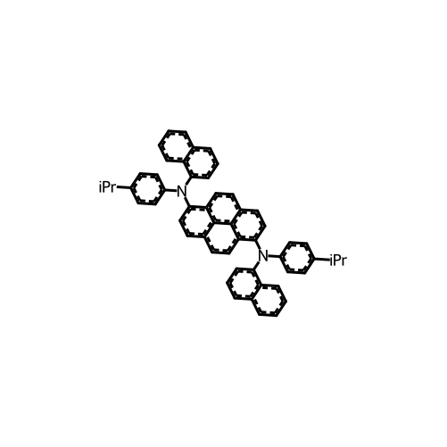 CC(C)c1ccc(N(c2cccc3ccccc23)c2ccc3ccc4c(N(c5ccc(C(C)C)cc5)c5cccc6ccccc56)ccc5ccc2c3c54)cc1